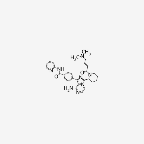 CN(C)CC=CC(=O)N1CCCC[C@H]1c1nc(-c2ccc(C(=O)Nc3ccccn3)cc2)c2c(N)nccn12